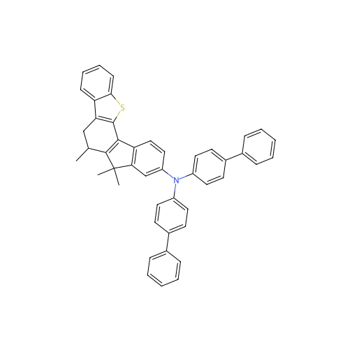 CC1Cc2c(sc3ccccc23)C2=C1C(C)(C)c1cc(N(c3ccc(-c4ccccc4)cc3)c3ccc(-c4ccccc4)cc3)ccc12